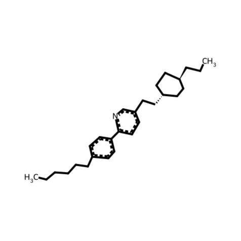 CCCCCCc1ccc(-c2ccc(CC[C@H]3CC[C@H](CCC)CC3)cn2)cc1